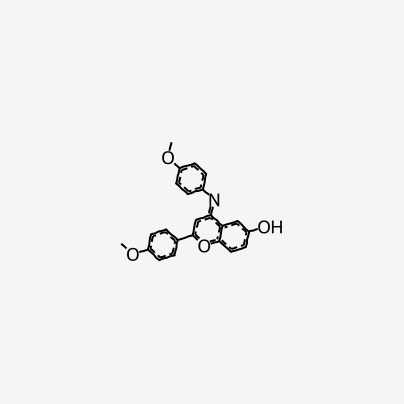 COc1ccc(/N=c2\cc(-c3ccc(OC)cc3)oc3ccc(O)cc23)cc1